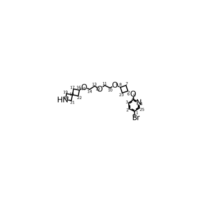 Brc1ccc(O[C@H]2C[C@H](OCCOCCOC3CC4(CNC4)C3)C2)nc1